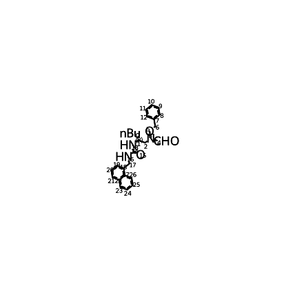 CCCC[C@H](CN(C=O)OCc1ccccc1)NC(=O)NCc1cccc2ccccc12